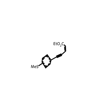 CCOC(=O)/C=C\C#Cc1ccc(SC)cc1